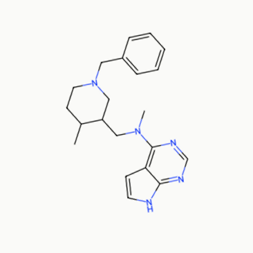 CC1CCN(Cc2ccccc2)CC1CN(C)c1ncnc2[nH]ccc12